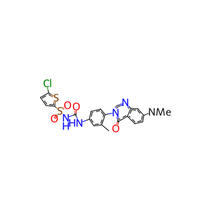 CNc1ccc2c(=O)n(-c3ccc(NC(=O)NS(=O)(=O)c4ccc(Cl)s4)cc3C)cnc2c1